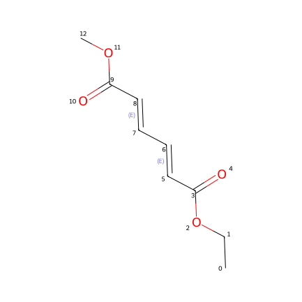 CCOC(=O)/C=C/C=C/C(=O)OC